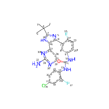 CC(C)(C)c1nc(-c2cc(NC(=O)Nc3ccc(Cl)cc3F)ccc2F)c(-c2ccnc(N)n2)[nH]1